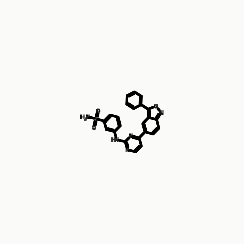 NS(=O)(=O)c1cccc(Nc2nccc(-c3ccc4noc(-c5ccccc5)c4c3)n2)c1